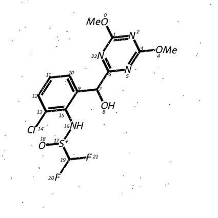 COc1nc(OC)nc(C(O)c2cccc(Cl)c2N[S+]([O-])C(F)F)n1